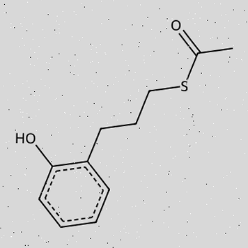 CC(=O)SCCCc1ccccc1O